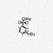 CCCC[n+]1cccc(S(=O)(=O)OC)c1